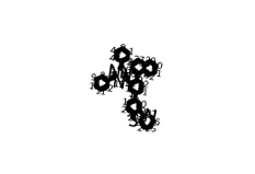 c1ccc(-c2nc(-c3ccccc3)nc(-c3cc(-c4ccc5sc6cccnc6c5c4)ccc3-c3cccc4ccccc34)n2)cc1